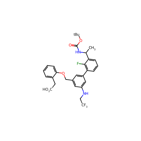 CC(NC(=O)OC(C)(C)C)c1cccc(-c2cc(COc3ccccc3CC(=O)O)cc(NCC(F)(F)F)c2)c1F